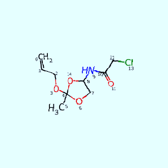 C=CCOC1(C)OCC(NC(=O)CCl)O1